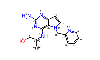 CCC[C@@H](CO)Nc1nc(N)nc2ccn(Cc3ccccn3)c12